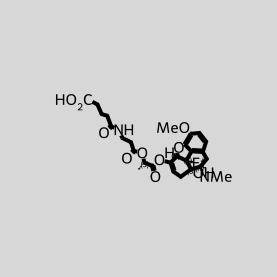 CC[C@]12c3c4ccc(OC)c3O[C@H]1C(OC(=O)[C@H](C)OC(=O)CCNC(=O)CCCC(=O)O)=CC[C@@]2(O)[C@H](NC)C4